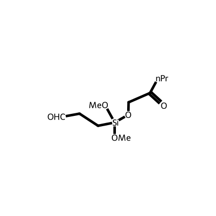 CCCC(=O)CO[Si](CCC=O)(OC)OC